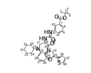 CC(C)(C)OC(=O)c1cccc(NC(=O)N[C@@H]2CN(C3CCCCC3)c3ccccc3N(CC(=O)c3cccs3)C2=O)c1